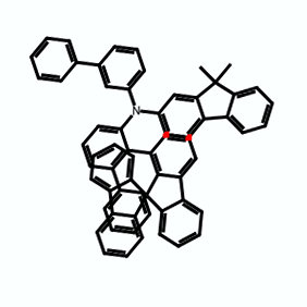 CC1(C)c2ccccc2-c2ccc(N(c3cccc(-c4ccccc4)c3)c3cccc(-c4ccccc4)c3-c3cccc4c3C3(c5ccccc5-c5ccccc53)c3ccccc3-4)cc21